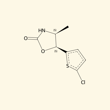 C[C@@H]1NC(=O)O[C@@H]1c1ccc(Cl)s1